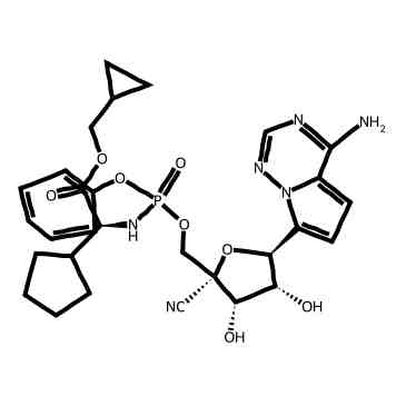 N#C[C@]1(COP(=O)(N[C@H](C(=O)OCC2CC2)C2CCCC2)Oc2ccccc2)O[C@@H](c2ccc3c(N)ncnn23)[C@H](O)[C@@H]1O